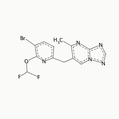 Cc1nc2ncnn2cc1Cc1ccc(Br)c(OC(F)F)n1